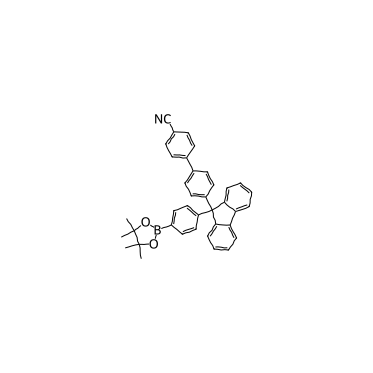 CC1(C)OB(c2ccc(C3(c4ccc(-c5ccc(C#N)cc5)cc4)c4ccccc4-c4ccccc43)cc2)OC1(C)C